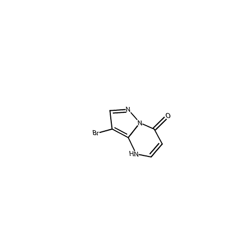 O=c1cc[nH]c2c(Br)cnn12